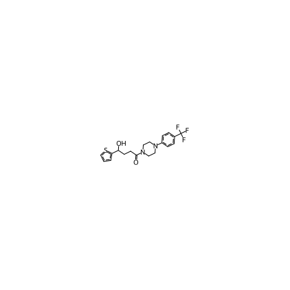 O=C(CCC(O)c1cccs1)N1CCN(c2ccc(C(F)(F)F)cc2)CC1